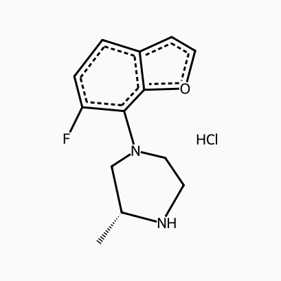 C[C@@H]1CN(c2c(F)ccc3ccoc23)CCN1.Cl